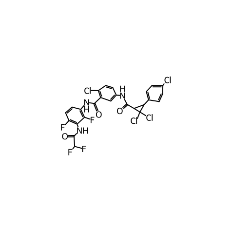 O=C(Nc1ccc(F)c(NC(=O)C(F)F)c1F)c1cc(NC(=O)C2C(c3ccc(Cl)cc3)C2(Cl)Cl)ccc1Cl